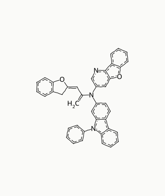 C=C(/C=C1\Cc2ccccc2O1)N(c1cnc2c(c1)oc1ccccc12)c1ccc2c3ccccc3n(-c3ccccc3)c2c1